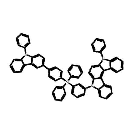 c1ccc(-n2c3ccccc3c3cc(-c4ccc([Si](c5ccccc5)(c5ccccc5)c5cccc(-n6c7ccccc7c7c8c9ccccc9n(-c9ccccc9)c8ccc76)c5)cc4)ccc32)cc1